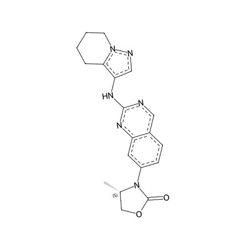 C[C@H]1COC(=O)N1c1ccc2cnc(Nc3cnn4c3CCCC4)nc2c1